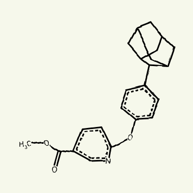 COC(=O)c1ccc(Oc2ccc(C3C4CC5CC(C4)CC3C5)cc2)nc1